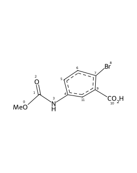 COC(=O)Nc1ccc(Br)c(C(=O)O)c1